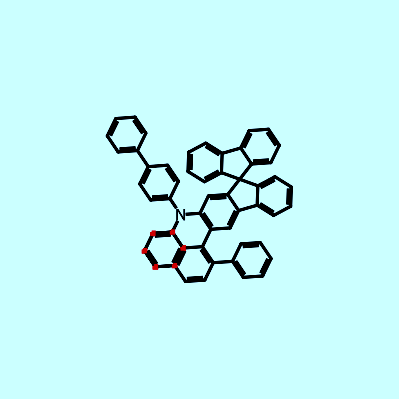 c1ccc(-c2ccc(N(c3ccccc3)c3cc4c(cc3-c3c(-c5ccccc5)ccc5c3CCCC5)-c3ccccc3C43c4ccccc4-c4ccccc43)cc2)cc1